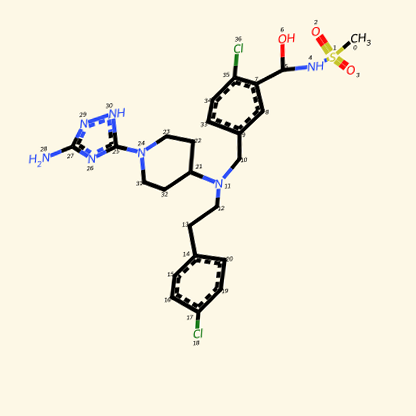 CS(=O)(=O)NC(O)c1cc(CN(CCc2ccc(Cl)cc2)C2CCN(c3nc(N)n[nH]3)CC2)ccc1Cl